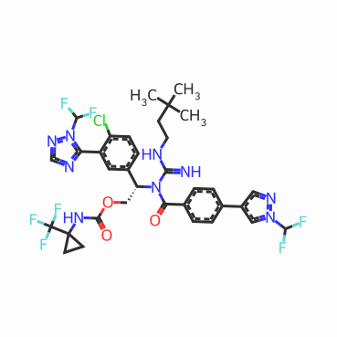 CC(C)(C)CCNC(=N)N(C(=O)c1ccc(-c2cnn(C(F)F)c2)cc1)[C@H](COC(=O)NC1(C(F)(F)F)CC1)c1ccc(Cl)c(-c2ncnn2C(F)F)c1